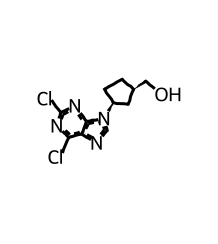 OC[C@@H]1CC[C@H](n2cnc3c(Cl)nc(Cl)nc32)C1